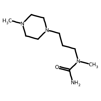 CN1CCN(CCCN(C)C(N)=O)CC1